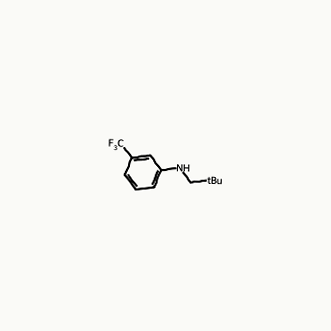 CC(C)(C)CNc1cccc(C(F)(F)F)c1